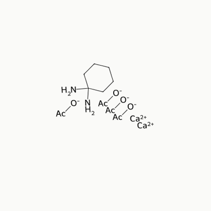 CC(=O)[O-].CC(=O)[O-].CC(=O)[O-].CC(=O)[O-].NC1(N)CCCCC1.[Ca+2].[Ca+2]